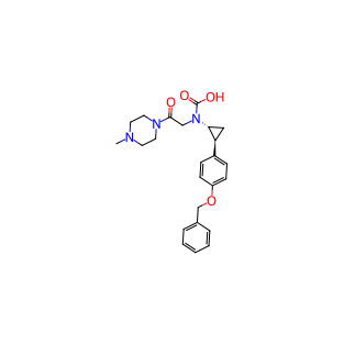 CN1CCN(C(=O)CN(C(=O)O)[C@@H]2C[C@H]2c2ccc(OCc3ccccc3)cc2)CC1